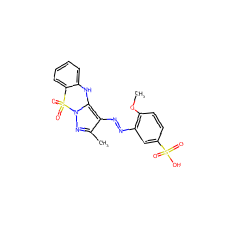 COc1ccc(S(=O)(=O)O)cc1/N=N/c1c(C)nn2c1Nc1ccccc1S2(=O)=O